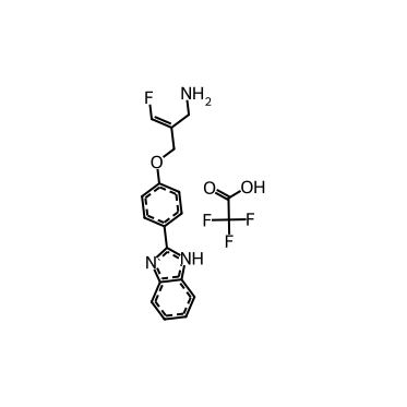 NCC(=CF)COc1ccc(-c2nc3ccccc3[nH]2)cc1.O=C(O)C(F)(F)F